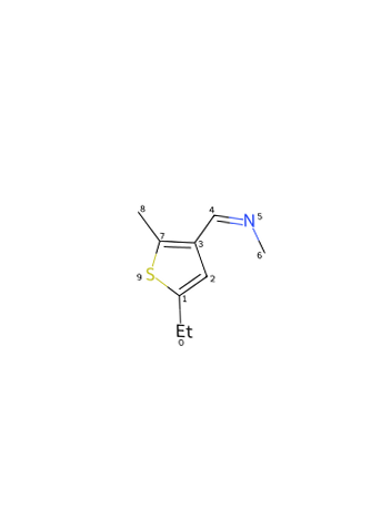 CCc1cc(/C=N\C)c(C)s1